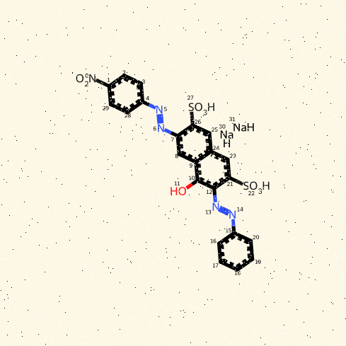 O=[N+]([O-])c1ccc(N=Nc2cc3c(O)c(N=Nc4ccccc4)c(S(=O)(=O)O)cc3cc2S(=O)(=O)O)cc1.[NaH].[NaH]